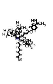 CC(=N)c1ccc(OCCCCN(C(=O)OC(C)(C)C)/C(=N\C(=O)OC(C)(C)C)N(CCCCCCCBr)C(=O)OC(C)(C)C)cc1